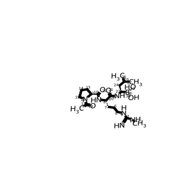 CNC(=N)NCCC[C@H](NC(=O)[C@@H]1CCCN1C(C)=O)C(=O)N[C@@H](CC(C)C)B(O)O